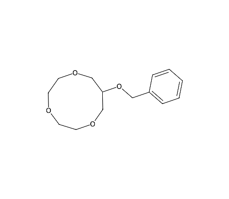 c1ccc(COC2COCCOCCOC2)cc1